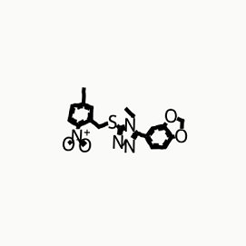 CCn1c(SCc2cc(C)ccc2[N+](=O)[O-])nnc1-c1ccc2c(c1)OCO2